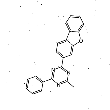 Cc1nc(-c2ccccc2)nc(-c2ccc3c(c2)oc2ccccc23)n1